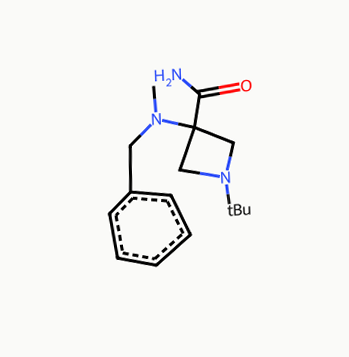 CN(Cc1ccccc1)C1(C(N)=O)CN(C(C)(C)C)C1